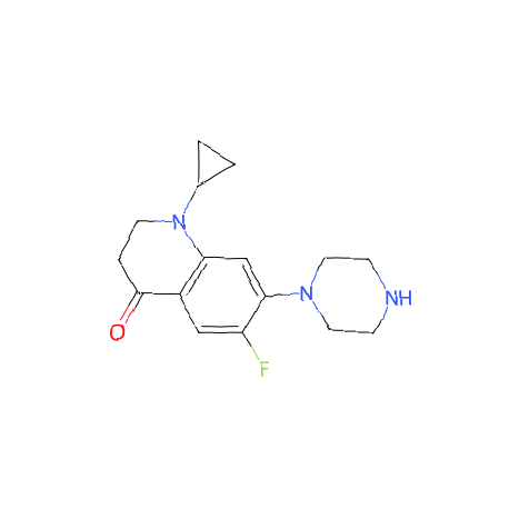 O=C1CCN(C2CC2)c2cc(N3CCNCC3)c(F)cc21